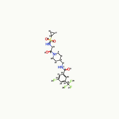 O=C(NCC1CCN(C(=O)CNS(=O)(=O)C2CC2)CC1)c1cc(F)cc(C(F)(F)F)c1